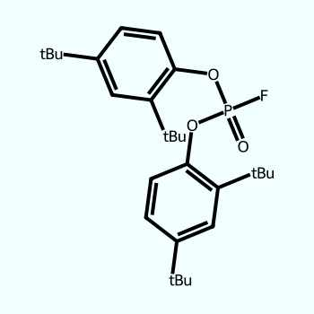 CC(C)(C)c1ccc(OP(=O)(F)Oc2ccc(C(C)(C)C)cc2C(C)(C)C)c(C(C)(C)C)c1